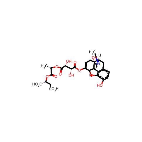 C[C@H](OC(=O)[C@H](O)[C@@H](O)C(=O)OC1=CC[C@@]2(O)[C@H]3Cc4ccc(O)c5c4[C@@]2(CCN3C)[C@H]1O5)C(=O)O[C@H](CC(=O)O)C(=O)O